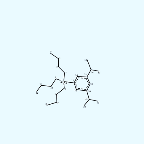 CCC[CH2][Sn]([CH2]CCC)([CH2]CCC)[c]1cc(C(C)C)cc(C(C)C)c1